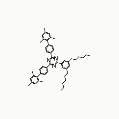 CCCCCCc1cc(CCCCCC)cc(-c2nc(-c3ccc(-c4c(C)cc(C)cc4C)cc3)nc(-c3ccc(-c4c(C)cc(C)cc4C)cc3)n2)c1